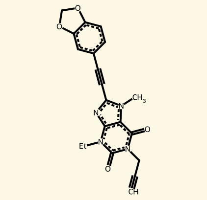 C#CCn1c(=O)c2c(nc(C#Cc3ccc4c(c3)OCO4)n2C)n(CC)c1=O